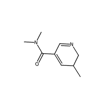 CC1C=C(C(=O)N(C)C)C=NC1